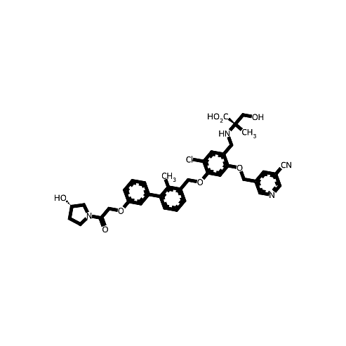 Cc1c(COc2cc(OCc3cncc(C#N)c3)c(CN[C@@](C)(CO)C(=O)O)cc2Cl)cccc1-c1cccc(OCC(=O)N2CC[C@H](O)C2)c1